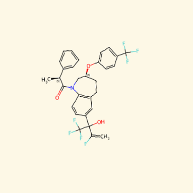 C=C(F)C(O)(c1ccc2c(c1)CC[C@H](Oc1ccc(C(F)(F)F)cc1)CN2C(=O)[C@@H](C)c1ccccc1)C(F)(F)F